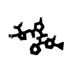 Cn1ncc(CC(=O)N2CC(F)CC2C(=O)NC(c2ccccc2)c2ccc(C3CC3)c(F)n2)c1C(F)F